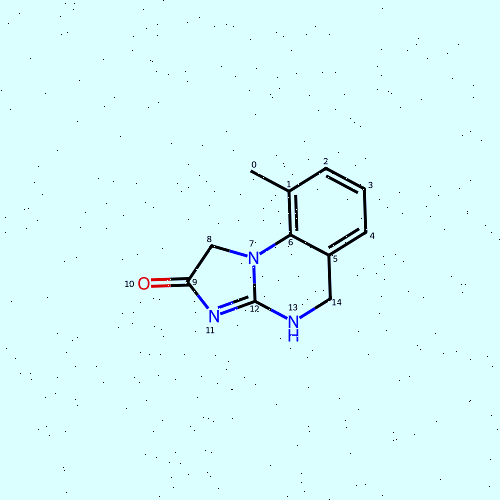 Cc1cccc2c1N1CC(=O)N=C1NC2